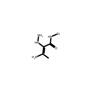 CCNC(=O)/C(NN)=C(\C)N